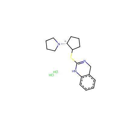 Cl.Cl.c1ccc2c(c1)CN=C(SC1CCC[C@H]1N1CCCC1)N2